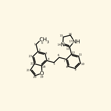 CCc1cc(CCc2ccccc2C2=NCCN2)c2occc2c1